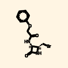 O=C(COc1ccccc1)N[C@H]1C(=O)N[C@H]1CBr